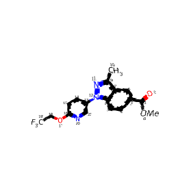 COC(=O)c1ccc2c(c1)c(C)nn2-c1ccc(OCC(F)(F)F)nc1